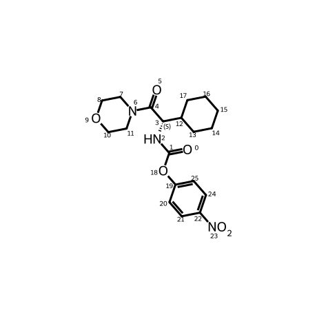 O=C(N[C@H](C(=O)N1CCOCC1)C1CCCCC1)Oc1ccc([N+](=O)[O-])cc1